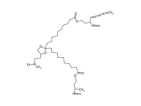 C=C=C=C=CC(CCCCC)CCOC(=O)CCCCCCCCCC1(CCCCCCCCCC(=O)OCCC(C)CCCCC)OCC(CCN(C)CC)O1